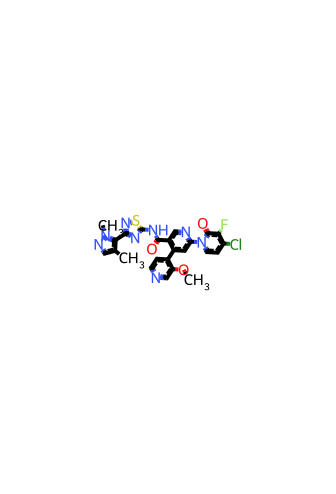 COc1cnccc1-c1cc(-n2ccc(Cl)c(F)c2=O)ncc1C(=O)Nc1nc(-c2c(C)cnn2C)ns1